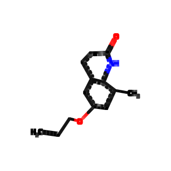 C=CCOc1cc(C)c2[nH]c(=O)ccc2c1